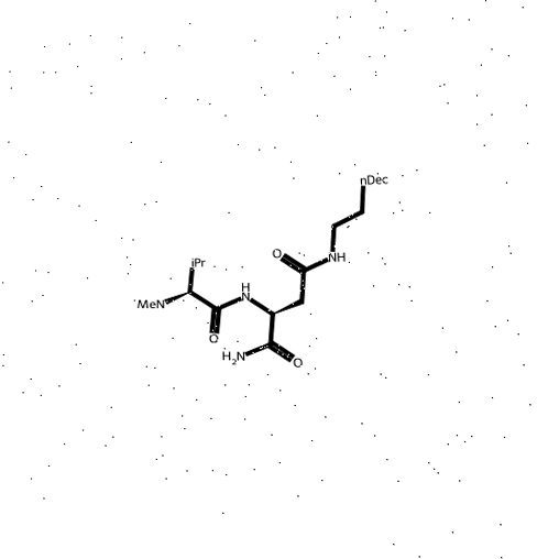 CCCCCCCCCCCCNC(=O)C[C@H](NC(=O)[C@@H](NC)C(C)C)C(N)=O